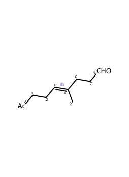 CC(=O)CC/C=C(\C)CCC=O